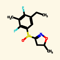 [CH2]c1c(F)c(CC)cc([S+]([O-])C2=NOC(C)C2)c1F